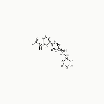 CC(=O)Nc1cccc(-c2ccc(NCCN3CCCCC3)nc2)c1